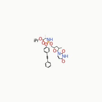 CC(C)OC(=O)[C@H](C)NP(OCC1CC(C)C(n2ccc(=O)[nH]c2=O)O1)Oc1ccc(C#Cc2ccccc2)cc1